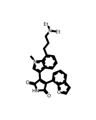 CCN(CC)CCCc1cccc2c(C3=C(c4cccc5ccoc45)C(=O)NC3=O)cn(C)c12